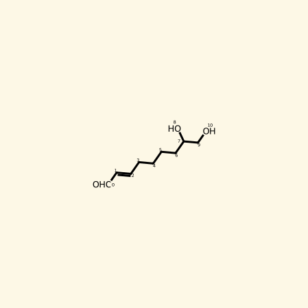 O=CC=CCCCCC(O)CO